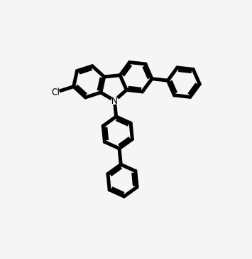 Clc1ccc2c3ccc(-c4ccccc4)cc3n(-c3ccc(-c4ccccc4)cc3)c2c1